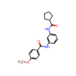 COc1ccc(C(=O)Nc2cccc(NC(=O)C3CCCC3)c2)cc1